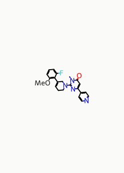 COc1cccc(F)c1C1=CCCN(c2nc(-c3ccncc3)cc(=O)n2C)C1